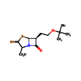 CC(C)(C)[Si](C)(C)OCC[C@H]1C(=O)N2C(C(=O)O)C(=S)SC12